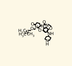 C[Si](C)(C)CCOCN1C(=O)CCC(n2c(=O)n3c4c(c(NC5CCNCC5)ccc42)OCC3)C1=O